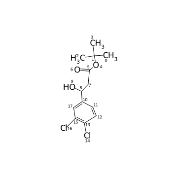 CC(C)(C)OC(=O)CC(O)c1ccc(Cl)c(Cl)c1